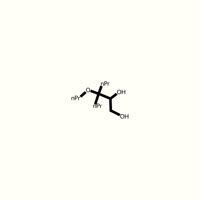 CCCOC(CCC)(CCC)C(O)CO